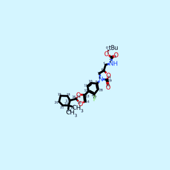 CC(C)(C)OC(=O)NCC1CN(c2ccc(C3=COC(C4CCCCC4(C)C)O3)c(F)c2)C(=O)O1